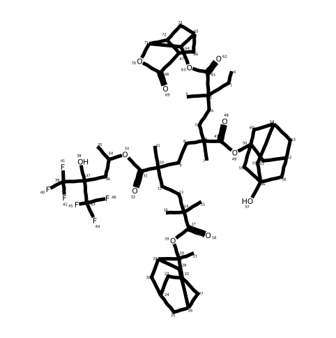 CCC(C)(CCC(C)(CCC(C)(CCC(C)(C)C(=O)OC1(C)C2CC3CC(C2)CC1C3)C(=O)OC(C)CC(O)(C(F)(F)F)C(F)(F)F)C(=O)OC12CC3CC(CC(O)(C3)C1)C2)C(=O)OC1C2CC3C(=O)OC1C3C2